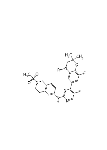 CC(C)N1CC(C)(C)Oc2c(F)cc(-c3nc(Nc4ccc5c(c4)CCN(S(C)(=O)=O)C5)ncc3F)cc21